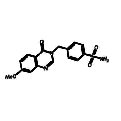 COc1ccc2c(=O)n(Cc3ccc(S(N)(=O)=O)cc3)cnc2c1